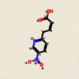 O=C(O)/C=C\Cc1ccc([N+](=O)[O-])cn1